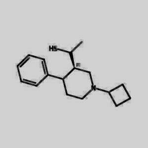 CC(S)[C@H]1CN(C2CCC2)CCC1c1ccccc1